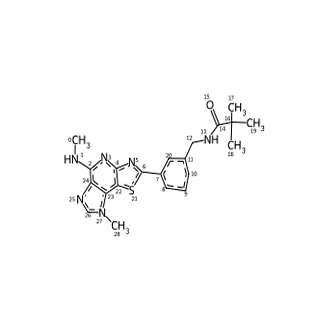 CNc1nc2nc(-c3cccc(CNC(=O)C(C)(C)C)c3)sc2c2c1ncn2C